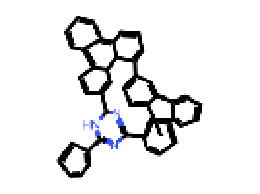 CC1(C)c2ccccc2-c2cc(C3=CC=CC4=c5ccccc5=C5C=CC(C6N=C(c7ccccc7)N=C(c7ccccc7)N6)=CC5C34)ccc21